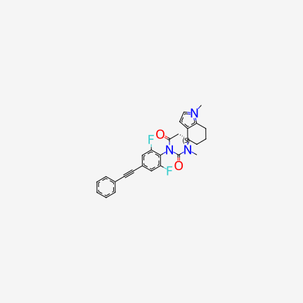 CN1C(=O)N(c2c(F)cc(C#Cc3ccccc3)cc2F)C(=O)C[C@]12CCCc1c2ccn1C